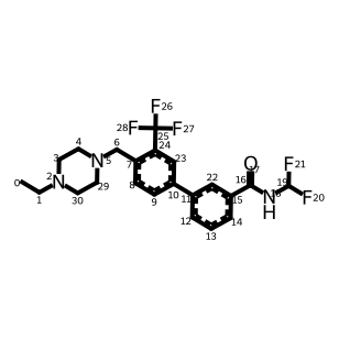 CCN1CCN(Cc2ccc(-c3cccc(C(=O)NC(F)F)c3)cc2C(F)(F)F)CC1